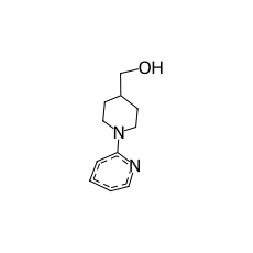 OCC1CCN(c2ccccn2)CC1